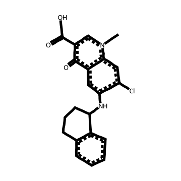 Cn1cc(C(=O)O)c(=O)c2cc(NC3CCCc4ccccc43)c(Cl)cc21